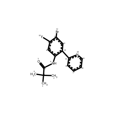 CC(C)(C)C(=O)Nc1cc(F)c(Br)cc1-c1ccccn1